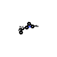 C=C(/C=C(\C=C/C)c1ccccc1)c1ccc2c(c1)c1cccc3c4cc(C(C)(C)C)ccc4n2c13